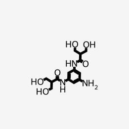 Nc1cc(NC(=O)C(CO)CO)cc(NC(=O)C(CO)CO)c1